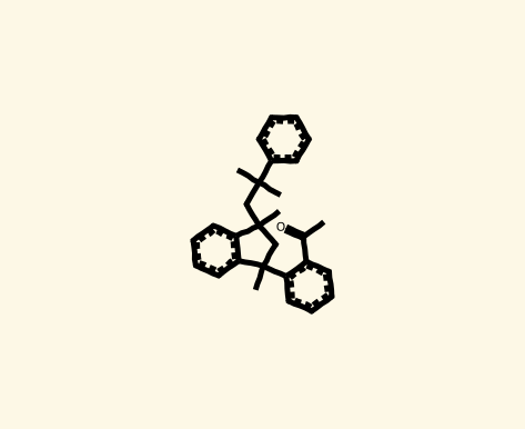 CC(=O)c1ccccc1C1(C)CC(C)(CC(C)(C)c2ccccc2)c2ccccc21